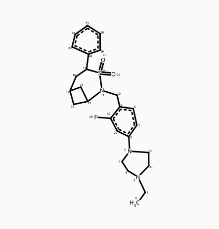 CCN1CCN(c2ccc(CN3C4CC(C4)CC(c4ccccc4)S3(=O)=O)c(F)c2)CC1